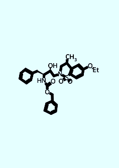 CCOc1ccc2c(c1)C(C)CN(C[C@@H](O)[C@H](Cc1ccccc1)NC(=O)OCc1ccccc1)S2(=O)=O